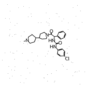 CN1CCC(C2CCN(C(=O)[C@H](NC(=O)Nc3ccc(Cl)cc3)c3ccccc3)CC2)CC1